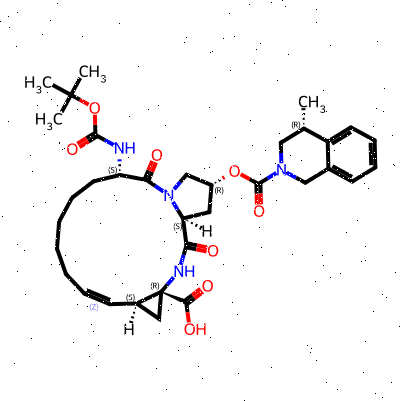 C[C@H]1CN(C(=O)O[C@@H]2C[C@H]3C(=O)N[C@]4(C(=O)O)C[C@H]4/C=C\CCCCC[C@H](NC(=O)OC(C)(C)C)C(=O)N3C2)Cc2ccccc21